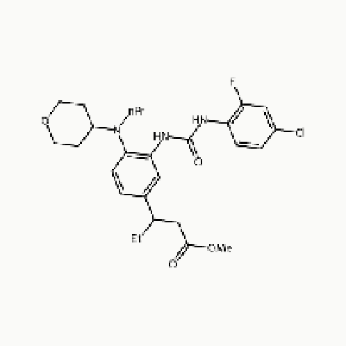 CCCN(c1ccc(C(CC)CC(=O)OC)cc1NC(=O)Nc1ccc(Cl)cc1F)C1CCOCC1